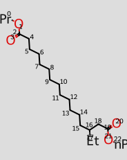 CCCOC(=O)CCCCCCCCCCCCC(CC)CC(=O)OCCC